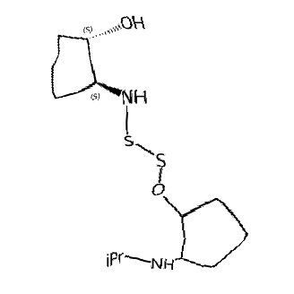 CC(C)NC1CCCC1OSSN[C@H]1CCC[C@@H]1O